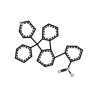 O=[N+]([O-])c1ccccc1-c1cccc2c1-c1ccccc1C2(c1ccccc1)c1ccncc1